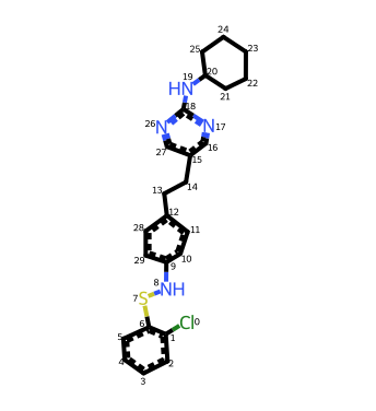 Clc1ccccc1SNc1ccc(CCc2cnc(NC3CCCCC3)nc2)cc1